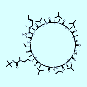 C/C=C/C[C@@H](C)[C@@H](O)[C@H]1C(=O)N[C@@H](CC)C(=O)N(C)[C@H](OCCNC(=O)OC(C)(C)C)C(=O)N(C)[C@@H](CC(C)C)C(=O)N[C@@H](C(C)C)C(=O)N(C)[C@@H](CC(C)C)C(=O)N[C@@H](C)C(=O)N[C@H](C)C(=O)N(C)[C@@H](CC(C)C)C(=O)N(C)[C@@H](CC(C)C)C(=O)N(C)[C@@H](C(C)C)C(=O)N1C